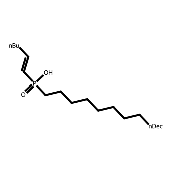 CCCCC=CP(=O)(O)CCCCCCCCCCCCCCCCCC